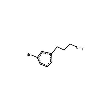 [CH2]CCCc1cccc(Br)c1